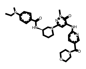 CCN(C)c1ccc(C(=O)N[C@@H]2CCCN(c3cc(Nc4ccc(C(=O)N5CCOCC5)cn4)c(=O)n(C)n3)C2)cc1